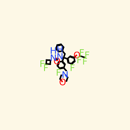 O=C(NC1CC(F)(F)C1)NC(Cc1ccccc1)(c1cc(F)cc(OC(F)(F)C(F)F)c1)c1ccc(F)c(CN2CCOCC2)c1